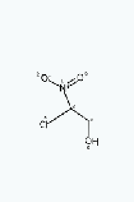 O=[N+]([O-])C(Cl)CO